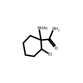 CCC1CCCCC1(NC(C)=O)C(N)=O